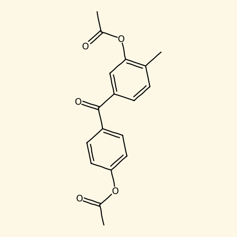 CC(=O)Oc1ccc(C(=O)c2ccc(C)c(OC(C)=O)c2)cc1